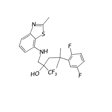 Cc1nc2cccc(NCC(O)(CC(C)(C)c3cc(F)ccc3F)C(F)(F)F)c2s1